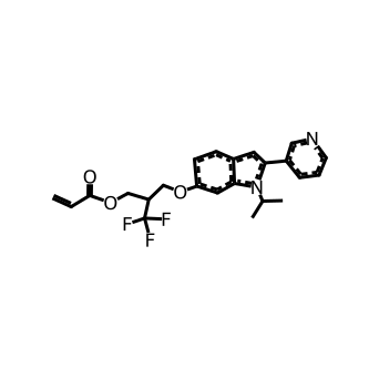 C=CC(=O)OCC(COc1ccc2cc(-c3cccnc3)n(C(C)C)c2c1)C(F)(F)F